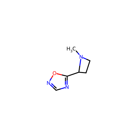 CN1CCC1c1ncno1